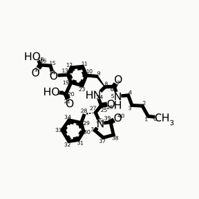 CCCCCNC(=O)[C@H](Cc1ccc(OCC(=O)O)c(C(=O)O)c1)NC(=O)[C@@H](Cc1ccccc1)N1CCCC1=O